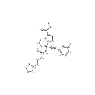 COC(=O)N1CCC2C1CCCC2(C#Cc1cccc(C)c1)OC(=O)CCCN1CCCC1